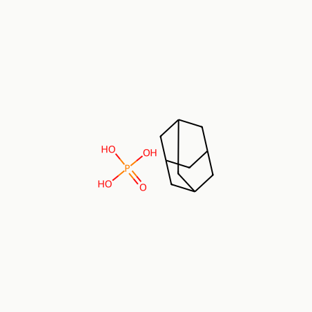 C1C2CC3CC1CC(C2)C3.O=P(O)(O)O